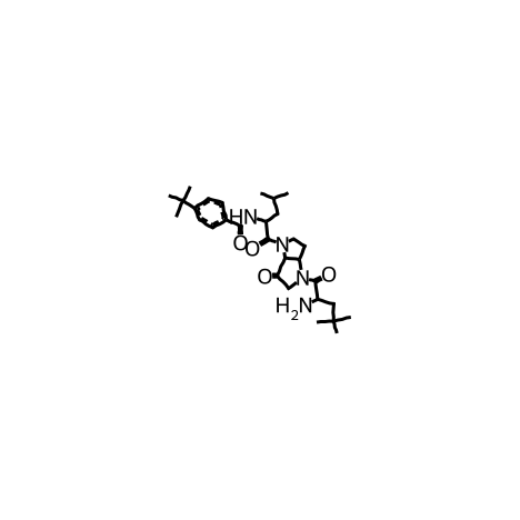 CC(C)CC(NC(=O)c1ccc(C(C)(C)C)cc1)C(=O)N1CCC2C1C(=O)CN2C(=O)C(N)CC(C)(C)C